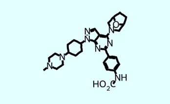 CN1CCN(C2CCC(n3ncc4c(N5CC6CCC(C5)O6)nc(-c5ccc(NC(=O)O)cc5)nc43)CC2)CC1